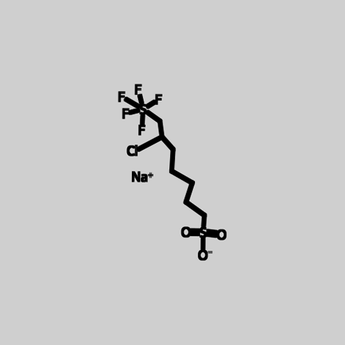 O=S(=O)([O-])CCCCCC(Cl)CS(F)(F)(F)(F)F.[Na+]